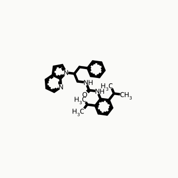 CC(C)c1cccc(C(C)C)c1NC(=O)NCC(Cc1ccccc1)n1ccc2cccnc21